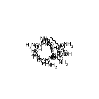 CCCCCCCC(=O)N[C@@H](CCN)C(=O)N[C@@H](CO)C(=O)N[C@@H](CCN)C(=O)N[C@H]1CCNC(=O)[C@H]([C@@H](C)O)NC(=O)[C@H](CCN)NC(=O)[C@H](CCN)NC(=O)[C@H](CCC)NC(=O)[C@@H](CC(C)C)NC(=O)[C@H](CCN)NC1=O